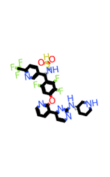 O=[SH](=O)N[C@@H](c1ccc(C(F)(F)F)nc1)c1c(F)cc(Oc2ncccc2-c2ccnc(N[C@H]3CCCNC3)n2)c(F)c1F